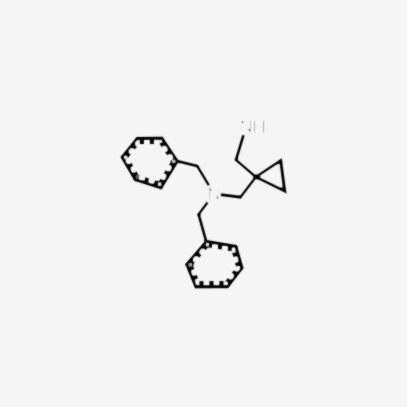 NCC1(CN(Cc2ccccc2)Cc2ccccc2)CC1